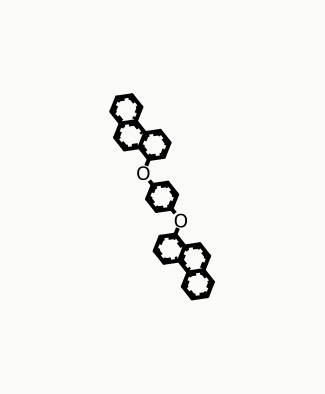 c1ccc2c(c1)ccc1c(Oc3ccc(Oc4cccc5c4ccc4ccccc45)cc3)cccc12